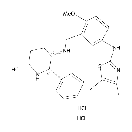 COc1ccc(Nc2nc(C)c(C)s2)cc1CN[C@H]1CCCN[C@H]1c1ccccc1.Cl.Cl.Cl